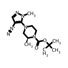 C[C@H]1CN(c2c([N+]#N)cnn2C)CCN1C(=O)OC(C)(C)C